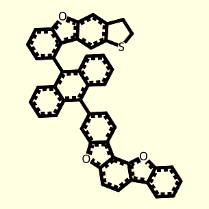 c1ccc2c(c1)oc1c2ccc2oc3cc(-c4c5ccccc5c(-c5cccc6oc7cc8c(cc7c56)SCC8)c5ccccc45)ccc3c21